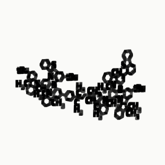 CC(C)(C)c1ccc2c(c1)C1(C)CCCCC1(C)N2c1cc2c3c(c1)-n1c4c(cc(C(C)(C)C)cc4c4sc5ccccc5c41)B3c1cc(-c3ccc(C(C)(C)CCC(C)(C)c4ccc5c(c4)C4(C)CCCCC4(C)N5c4cc5c6c(c4)-n4c7c(c8cc(C(C)(C)C)cc(c84)B6c4cc(-c6cccc8c6sc6ccccc68)cc6c4N5C4(C)CCCCC64C)C(C)(C)c4ccccc4-7)cc3)cc3c1N2C1(C)CCCCC31C